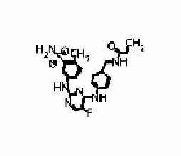 C=CC(=O)NCc1ccc(Nc2nc(Nc3ccc(C)c(S(N)(=O)=O)c3)ncc2F)cc1